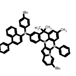 Cc1cc2c3c(c1)C(C)(C)c1cc(N(c4ccc(C(C)(C)C)cc4)c4ccc(-c5ccccc5)c5ccccc45)ccc1B3c1cc3ccc(C(C)(C)C)cn3c1N2c1ccccc1